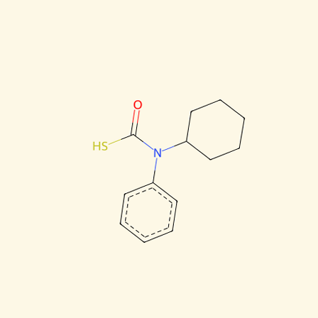 O=C(S)N(c1ccccc1)C1CCCCC1